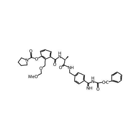 COCOCc1c(OC(=O)N2CCCC2)cccc1C(=O)N[C@@H](C)C(=O)NCc1ccc(C(=N)NC(=O)OCc2ccccc2)cc1